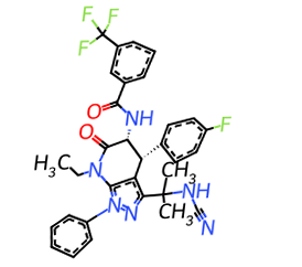 CCN1C(=O)[C@H](NC(=O)c2cccc(C(F)(F)F)c2)[C@H](c2ccc(F)cc2)c2c(C(C)(C)NC#N)nn(-c3ccccc3)c21